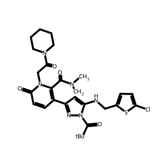 CN(C)C(=O)c1c(-c2cc(NCc3ccc(Cl)s3)n(C(=O)C(C)(C)C)n2)ccc(=O)n1CC(=O)N1CCCCC1